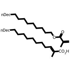 C=C(C)C(=O)OCCCCCCCCCCCCCCCCCCC.CCCCCCCCCCCCCCCCCCC=C(C)C(=O)O